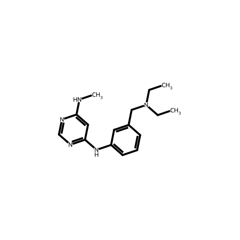 CCN(CC)Cc1cccc(Nc2cc(NC)ncn2)c1